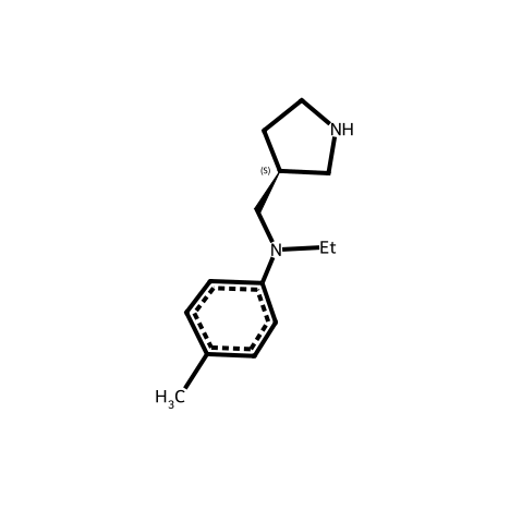 CCN(C[C@H]1CCNC1)c1ccc(C)cc1